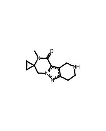 CN1C(=O)c2c3c(nn2CC12CC2)CCNC3